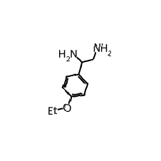 CCOc1ccc(C(N)CN)cc1